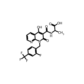 CC(NC(=O)c1c(O)c2cccnc2n(Cc2ccc(C(F)(F)F)cc2F)c1=O)C(=O)O